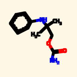 CC(C)(COC(N)=O)Nc1ccccc1